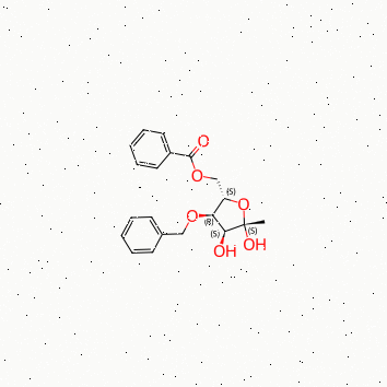 C[C@]1(O)O[C@@H](COC(=O)c2ccccc2)[C@H](OCc2ccccc2)[C@@H]1O